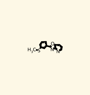 CSc1cccc(-c2nc3ncccc3o2)c1